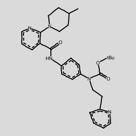 CC1CCN(c2ncccc2C(=O)Nc2ccc(N(CCc3ccccn3)C(=O)OC(C)(C)C)cc2)CC1